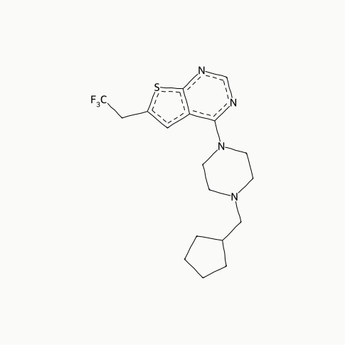 FC(F)(F)Cc1cc2c(N3CCN(CC4CCCC4)CC3)ncnc2s1